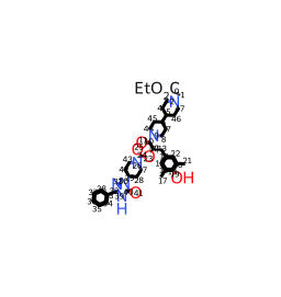 CCOC(=O)CN1CCC(C2CCN(C(=O)[C@@H](Cc3cc(C)c(O)c(C)c3)OC(=O)N3CCC(n4nc(-c5ccccc5)[nH]c4=O)CC3)CC2)CC1